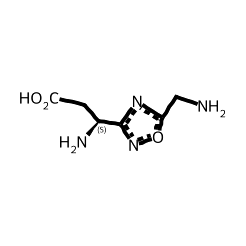 NCc1nc([C@@H](N)CC(=O)O)no1